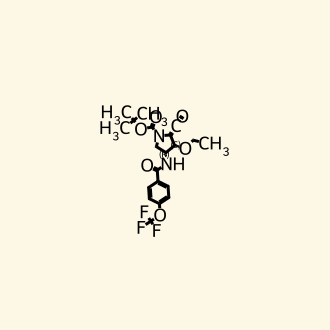 CCO[C@@H]1C(=C=O)N(C(=O)OC(C)(C)C)C[C@H]1NC(=O)c1ccc(OC(F)(F)F)cc1